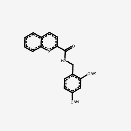 COc1ccc(CNC(=O)c2ccc3ccccc3n2)c(OC)c1